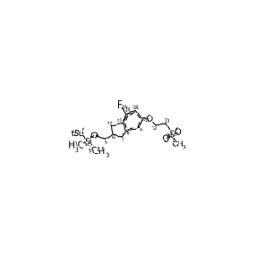 CC(C)(C)[Si](C)(C)OCC1Cc2cc(OCCS(C)(=O)=O)cc(F)c2C1